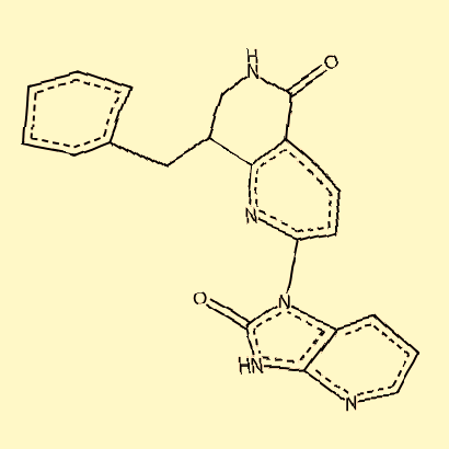 O=C1NCC(Cc2ccccc2)c2nc(-n3c(=O)[nH]c4ncccc43)ccc21